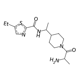 CCc1cnc(C(=O)NC(C)C2CCN(C(=O)C(C)N)CC2)s1